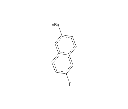 [CH2]CCCc1ccc2cc(F)ccc2c1